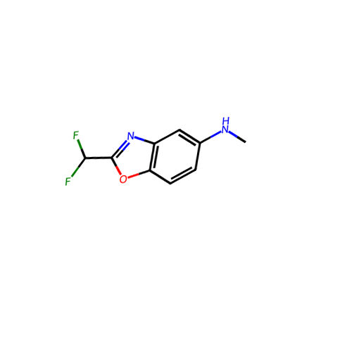 CNc1ccc2oc(C(F)F)nc2c1